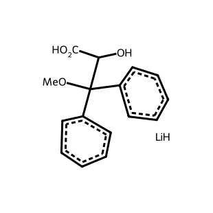 COC(c1ccccc1)(c1ccccc1)C(O)C(=O)O.[LiH]